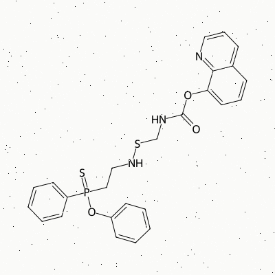 O=C(NCSNCCP(=S)(Oc1ccccc1)c1ccccc1)Oc1cccc2cccnc12